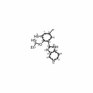 CCC(S)Oc1c(S)cc(C)cc1-c1nc2cnccc2[nH]1